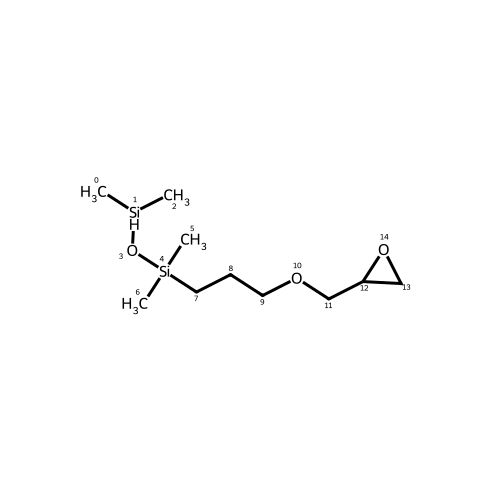 C[SiH](C)O[Si](C)(C)CCCOCC1CO1